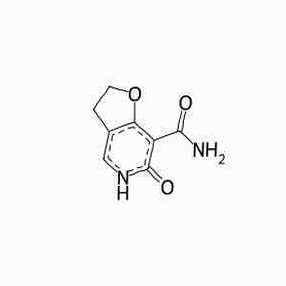 NC(=O)c1c2c(c[nH]c1=O)CCO2